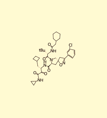 CC(C)(C)[C@H](NC(=O)CC1CCCCC1)C(=O)N1C[C@@]2(CC(c3cccc(Cl)c3)=NO2)C[C@H]1C(=O)N[C@@H](CC1CCC1)C(=O)C(=O)NC1CC1